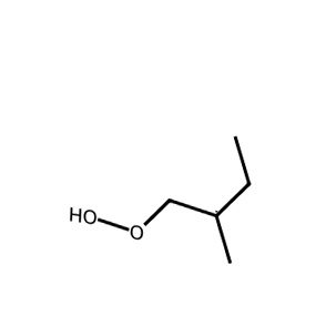 CC[C](C)COO